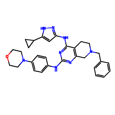 c1ccc(CN2CCc3c(nc(Nc4ccc(N5CCOCC5)cc4)nc3Nc3cc(C4CC4)[nH]n3)C2)cc1